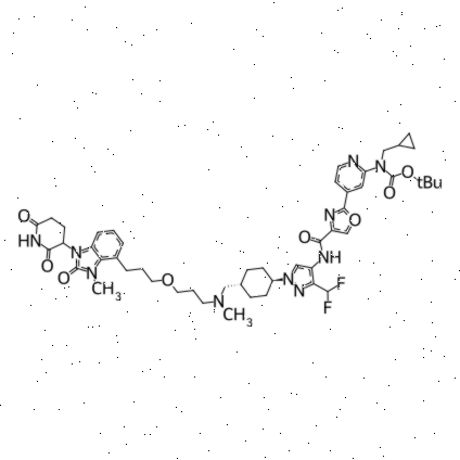 CN(CCCOCCCc1cccc2c1n(C)c(=O)n2C1CCC(=O)NC1=O)C[C@H]1CC[C@H](n2cc(NC(=O)c3coc(-c4ccnc(N(CC5CC5)C(=O)OC(C)(C)C)c4)n3)c(C(F)F)n2)CC1